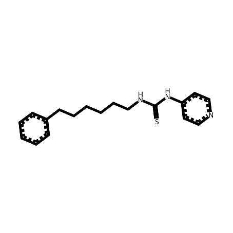 S=C(NCCCCCCc1ccccc1)Nc1ccncc1